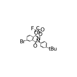 CC(C)(C)c1ccc(-n2nc(OS(=O)(=O)C(F)(F)F)c3ccc(Br)cc3c2=O)cc1